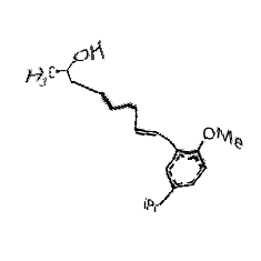 COc1ccc(C(C)C)cc1/C=C/CCCC[C@@H](C)O